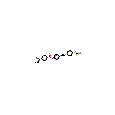 C=CC(CC)[C@H]1CC[C@H](C(=O)Oc2ccc(C#C[C@H]3CC[C@H](OC(F)C(F)(F)F)CC3)cc2)CC1